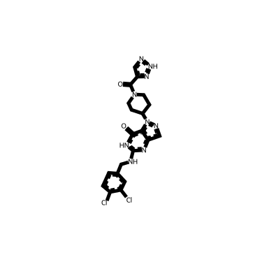 O=C(c1cn[nH]n1)N1CCC(n2ncc3nc(NCc4ccc(Cl)c(Cl)c4)[nH]c(=O)c32)CC1